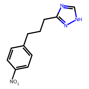 O=[N+]([O-])c1ccc(CCCc2nc[nH]n2)cc1